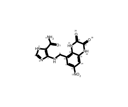 NC(=O)c1[nH]cnc1NCc1cc([N+](=O)[O-])cc2[nH]c(=O)c(=O)[nH]c12